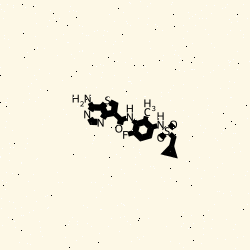 Cc1c(NS(=O)(=O)CC2CC2)ccc(F)c1NC(=O)c1csc2c(N)ncnc12